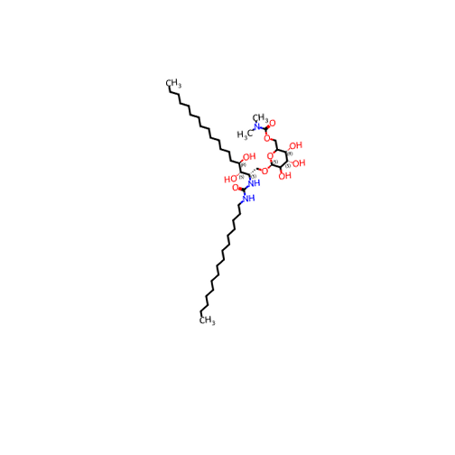 CCCCCCCCCCCCCCCCNC(=O)N[C@@H](CO[C@H]1OC(COC(=O)N(C)C)[C@H](O)[C@H](O)C1O)[C@H](O)[C@H](O)CCCCCCCCCCCCCC